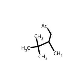 CC(=O)CC(C)C(C)(C)C